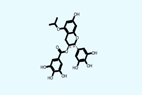 CC(C)Oc1cc(O)cc2c1C[C@H](OC(=O)c1cc(O)c(O)c(O)c1)[C@@H](c1cc(O)c(O)c(O)c1)O2